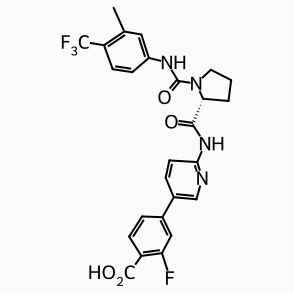 Cc1cc(NC(=O)N2CCC[C@@H]2C(=O)Nc2ccc(-c3ccc(C(=O)O)c(F)c3)cn2)ccc1C(F)(F)F